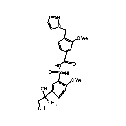 COc1cc(C(=O)N[S@](=N)(=O)c2cc(C(C)(C)CO)ccc2OC)ccc1Cn1cccn1